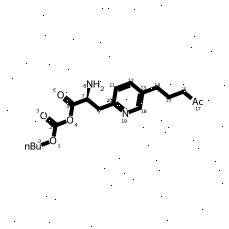 CCCCOC(=O)OC(=O)[C@@H](N)Cc1ccc(CCCC(C)=O)cn1